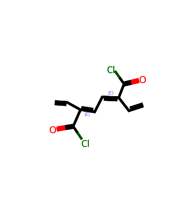 C=C/C(=C\C=C(/C=C)C(=O)Cl)C(=O)Cl